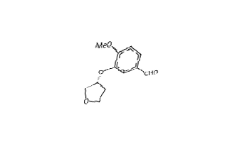 COc1ccc(C=O)cc1O[C@@H]1CCOC1